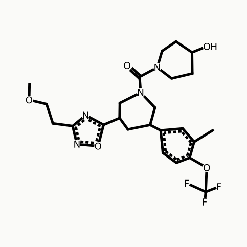 COCCc1noc(C2CC(c3ccc(OC(F)(F)F)c(C)c3)CN(C(=O)N3CCC(O)CC3)C2)n1